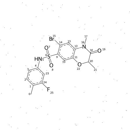 Cc1ccc(NS(=O)(=O)c2cc3c(cc2Br)N(C)C(=O)C(C)O3)cc1F